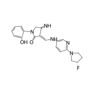 N=C1CN(c2ccccc2O)C(=O)/C1=C/Nc1ccc(N2CC[C@H](F)C2)nc1